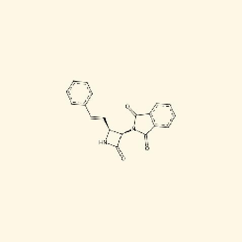 O=C1N[C@@H](C=Cc2ccccc2)[C@H]1N1C(=O)c2ccccc2C1=O